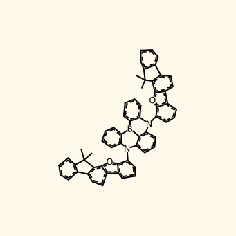 CC1(C)c2ccccc2-c2ccc3c(oc4c(N5c6ccccc6B6c7ccccc7N(c7cccc8c7oc7c9c(ccc78)-c7ccccc7C9(C)C)c7cccc5c76)cccc43)c21